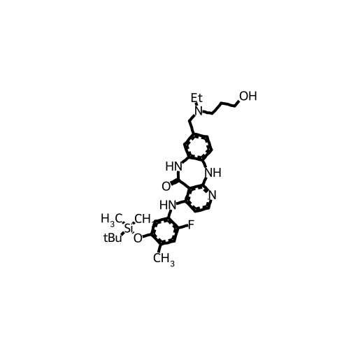 CCN(CCCO)Cc1ccc2c(c1)NC(=O)c1c(Nc3cc(O[Si](C)(C)C(C)(C)C)c(C)cc3F)ccnc1N2